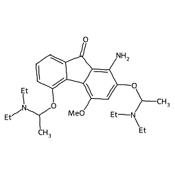 CCN(CC)C(C)Oc1cc(OC)c2c(c1N)C(=O)c1cccc(OC(C)N(CC)CC)c1-2